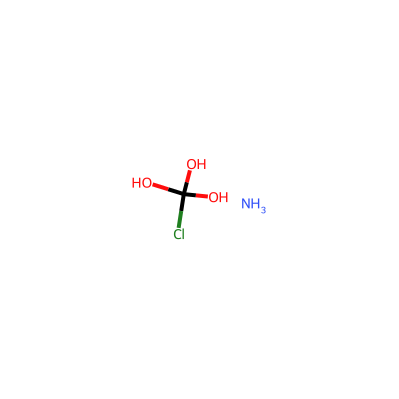 N.OC(O)(O)Cl